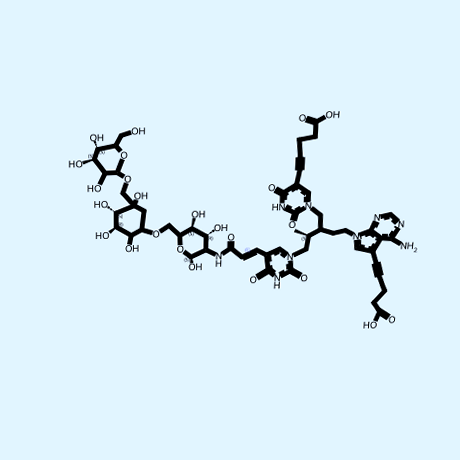 C[C@H](Cn1cc(/C=C/C(=O)NC2[C@@H](O)[C@H](O)C(COC3CC(O)(COC4OC(CO)[C@@H](O)[C@H](O)C4O)[C@@H](O)[C@H](O)C3O)O[C@@H]2O)c(=O)[nH]c1=O)C(CCn1cc(C#CCCC(=O)O)c2c(N)ncnc21)Cn1cc(C#CCCC(=O)O)c(=O)[nH]c1=O